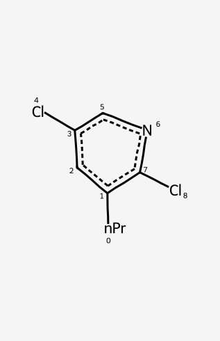 CCCc1cc(Cl)cnc1Cl